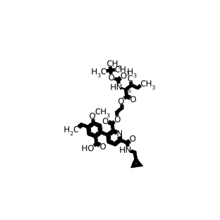 C=Cc1cc(C(=O)O)c(-c2ccc(C(=O)NCC3CC3)nc2C(=O)OCCOC(=O)[C@@H](NC(=O)OC(C)(C)C)C(C)CC)cc1OC